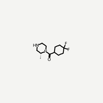 C[C@@H]1CNCCN1C(=O)C1CCC(F)(F)CC1